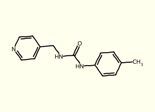 Cc1ccc(NC(=O)NCc2ccncc2)cc1